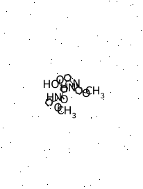 COC[C@@H](NC(=O)c1ccc(-c2ccccc2-c2nc3cc(OC)ccc3[nH]2)c(C(=O)O)c1)c1ccccc1